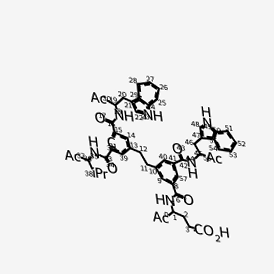 CC(=O)C(CCC(=O)O)NC(=O)c1cc(CCc2cc(C(=O)NC(Cc3c[nH]c4ccccc34)C(C)=O)cc(C(=O)NC(C(C)=O)C(C)C)c2)cc(C(=O)NC(Cc2c[nH]c3ccccc23)C(C)=O)c1